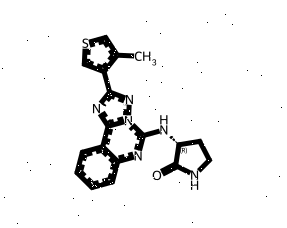 Cc1cscc1-c1nc2c3ccccc3nc(N[C@@H]3CCNC3=O)n2n1